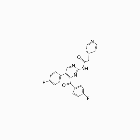 O=C(Cc1ccncc1)Nc1ncc(-c2ccc(F)cc2)c(C(=O)c2ccc(F)cc2)n1